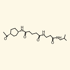 CC(=O)[C@H]1CC[C@@H](NC(=O)CCCC(=O)NCCC(=O)NCC(C)C)CC1